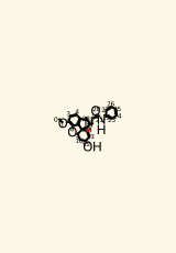 COc1ccc2c3c1OC1CC(O)C=CC31CCN(C(=O)Nc1ccccc1)C2